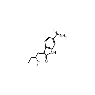 CCC(C=C1C(=O)Nc2cc(C(N)=O)ccc21)OC